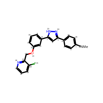 CNc1ccc(-c2cc(-c3cccc(OCc4ncccc4F)c3)[nH]n2)cc1